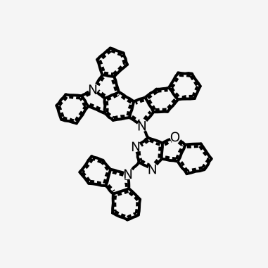 c1ccc2cc3c(cc2c1)c1c2c4ccccc4n4c5ccccc5c(cc1n3-c1nc(-n3c5ccccc5c5ccccc53)nc3c1oc1ccccc13)c24